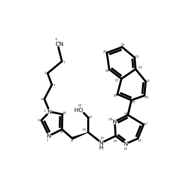 N#CCCCCn1cnc(C[C@@H](CO)Nc2nccc(-c3ccc4ccccc4c3)n2)c1